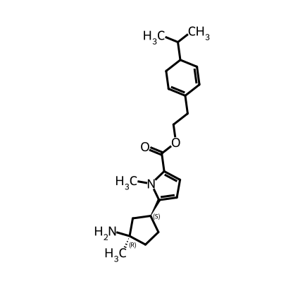 CC(C)C1C=CC(CCOC(=O)c2ccc([C@H]3CC[C@@](C)(N)C3)n2C)=CC1